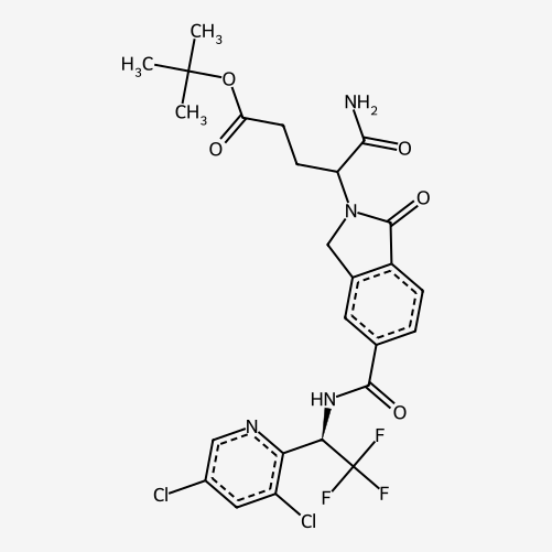 CC(C)(C)OC(=O)CCC(C(N)=O)N1Cc2cc(C(=O)N[C@H](c3ncc(Cl)cc3Cl)C(F)(F)F)ccc2C1=O